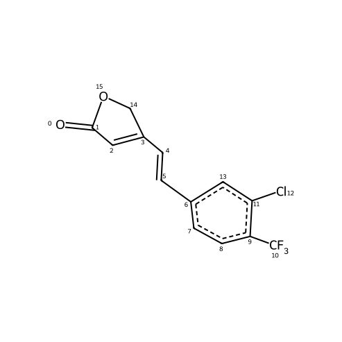 O=C1C=C(C=Cc2ccc(C(F)(F)F)c(Cl)c2)CO1